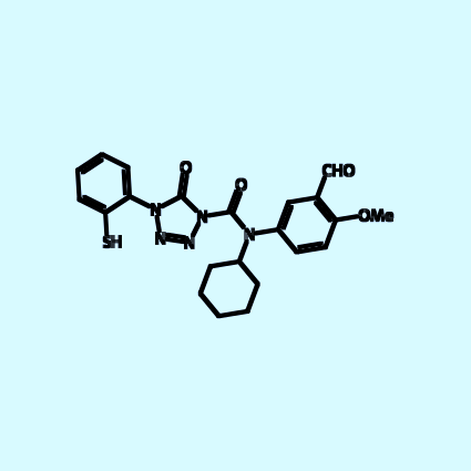 COc1ccc(N(C(=O)n2nnn(-c3ccccc3S)c2=O)C2CCCCC2)cc1C=O